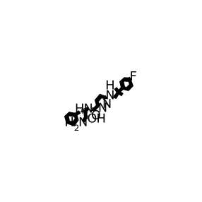 CC(C)(CNc1ccc(C(=O)N[C@@H](Cc2ccccc2)C(N)O)nn1)c1ccc(F)cc1